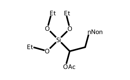 CCCCCCCCCCC(OC(C)=O)[Si](OCC)(OCC)OCC